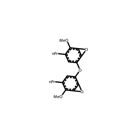 CCCc1cc(Oc2cc(CCC)c(OC)c3c2O3)c2c(c1OC)O2